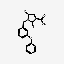 O=C(O)C1CC(F)N(Cc2cccc(Oc3ccccc3)c2)C1F